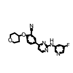 N#Cc1cc(-c2ccnc(Nc3cncc(F)c3)n2)ccc1OC1CCOCC1